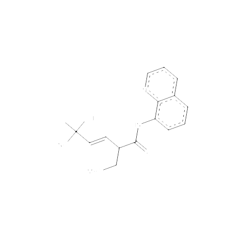 COCC(C=CC(C)(C)C#N)C(=O)Nc1cccc2cccnc12